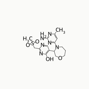 Cc1cc(N2CCCOCC2c2cnc(CS(C)(=O)=O)nc2O)nc(N)n1